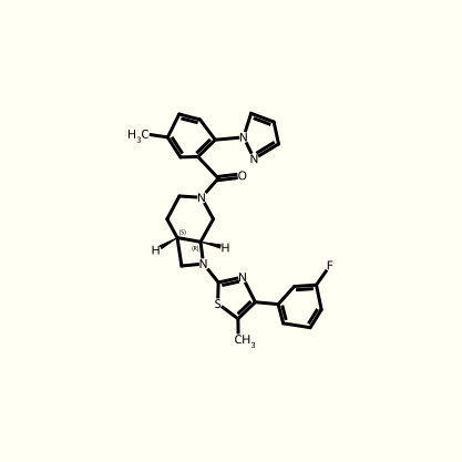 Cc1ccc(-n2cccn2)c(C(=O)N2CC[C@H]3CN(c4nc(-c5cccc(F)c5)c(C)s4)[C@H]3C2)c1